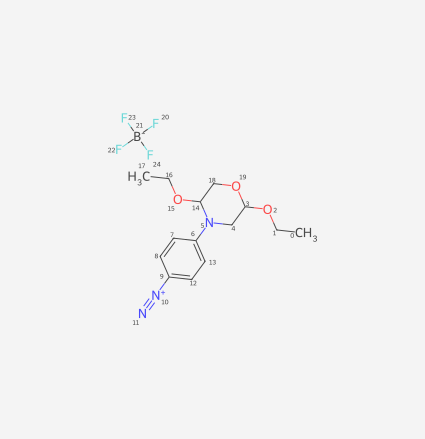 CCOC1CN(c2ccc([N+]#N)cc2)C(OCC)CO1.F[B-](F)(F)F